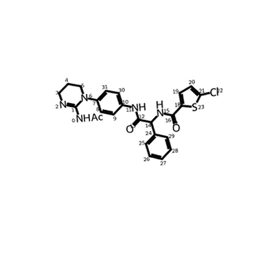 CC(=O)NC1=NCCCN1c1ccc(NC(=O)C(NC(=O)c2ccc(Cl)s2)c2ccccc2)cc1